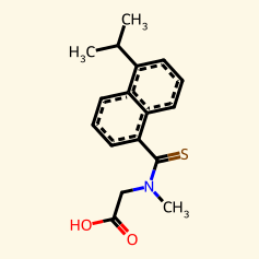 CC(C)c1cccc2c(C(=S)N(C)CC(=O)O)cccc12